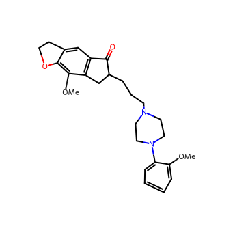 COc1ccccc1N1CCN(CCCC2Cc3c(cc4c(c3OC)OCC4)C2=O)CC1